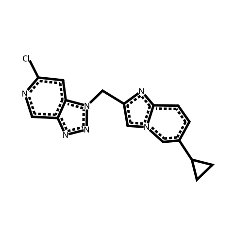 Clc1cc2c(cn1)nnn2Cc1cn2cc(C3CC3)ccc2n1